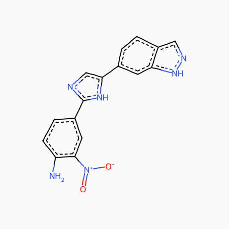 Nc1ccc(-c2ncc(-c3ccc4cn[nH]c4c3)[nH]2)cc1[N+](=O)[O-]